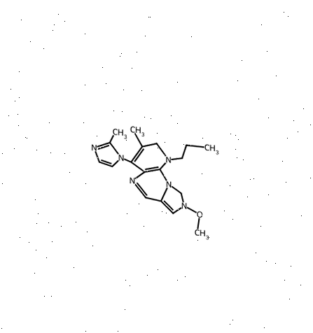 CCCN1CC(C)=C(n2ccnc2C)C2=C1N1CN(OC)C=C1C=N2